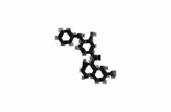 Fc1cc(Nc2ncnc3ccc(Cl)nc23)cnc1Oc1ccccc1